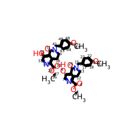 CCOC(=O)c1ncc(O)c2c1CCN(Cc1ccc(OC)cc1)C2=O.CCOC(=O)c1ncc(O)c2c1CCN(Cc1ccc(OC)cc1)C2=O